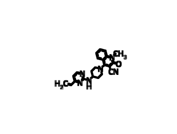 C=Cc1ccnc(NC2CCN(c3c(C#N)c(=O)n(C)c4ccccc34)CC2)n1